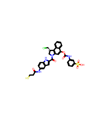 O=C(CCS)Nc1ccc2[nH]c(C(=O)N3C[C@@H](CCl)c4c3cc(OC(=O)Nc3cccc(S(=O)(=O)O)c3)c3ccccc43)cc2c1